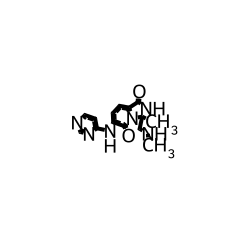 CNCC1(C)NC(=O)c2ccc(Nc3ccncn3)c(=O)n21